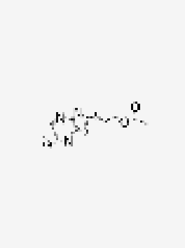 CC(=O)OCCSc1nc2ncc(Br)nc2s1